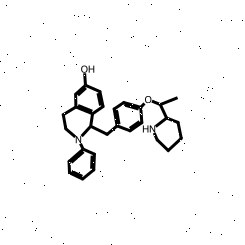 CC(Oc1ccc(CC2c3ccc(O)cc3CCN2c2ccccc2)cc1)C1CCCCN1